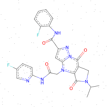 CC(C)N1Cc2c(n(CC(=O)Nc3ccc(F)cn3)c3cc(C(=O)Nc4ccccc4F)nn3c2=O)C1=O